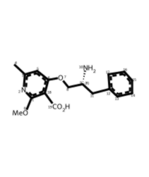 COc1nc(C)cc(OC[C@H](N)Cc2ccccc2)c1C(=O)O